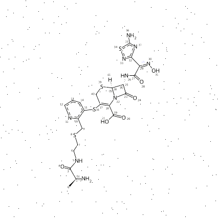 C[C@H](N)C(=O)NCCSCc1ncccc1SC1=C(C(=O)O)N2C(=O)[C@@H](NC(=O)/C(=N\O)c3nsc(N)n3)[C@@H]2SC1